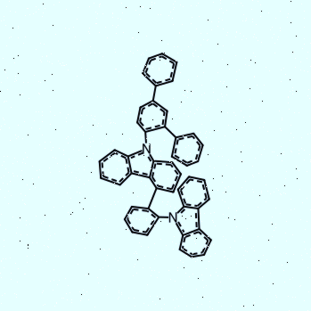 c1ccc(-c2ccc(-n3c4ccccc4c4c(-c5ccccc5-n5c6ccccc6c6ccccc65)cccc43)c(-c3ccccc3)c2)cc1